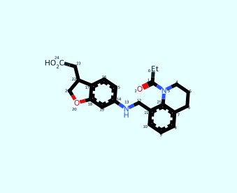 CCC(=O)N1CCCc2cccc(CNc3ccc4c(c3)OCC4CC(=O)O)c21